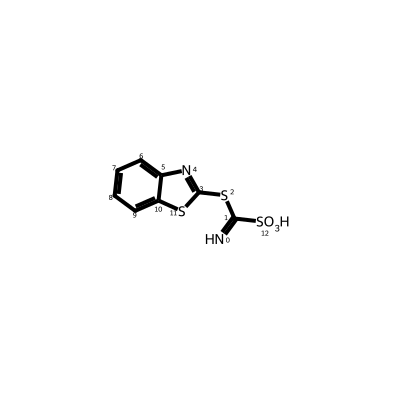 N=C(Sc1nc2ccccc2s1)S(=O)(=O)O